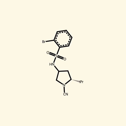 CC(C)[C@H]1CC(NS(=O)(=O)c2ccccc2Br)CN1C#N